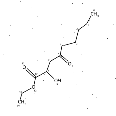 CCCCCC(=O)CC(O)C(=O)OCC